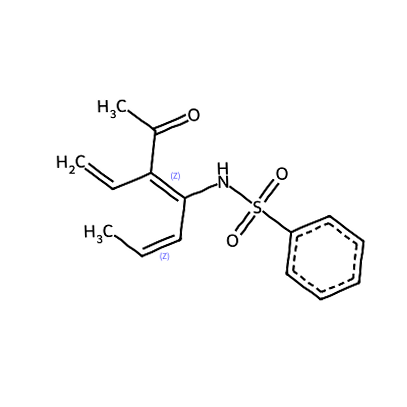 C=C/C(C(C)=O)=C(\C=C/C)NS(=O)(=O)c1ccccc1